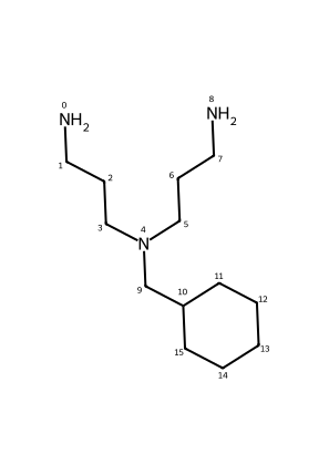 NCCCN(CCCN)CC1CCCCC1